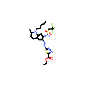 CCCCCN1c2cc(NS(=O)(=O)CC(F)(F)F)c(N=Nc3nnc(C(=O)OCC)s3)cc2CCC1C